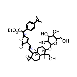 CCOC(=O)/C(=C1C=C(/C=C/C2C3(CCC4[C@]2(C)CC[C@@H](OC2OC(CO)C(O)C(O)C2O)[C@@]4(C)CO)CO3)C(=O)O/1)c1ccc(N(C)C)cc1